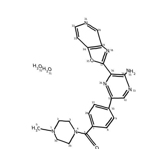 CN1CCN(C(=O)c2ccc(-c3cnc(N)c(-c4nc5cnccc5o4)n3)cc2)CC1.O.O